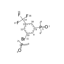 C=P(C)=O.CP(C)(=O)c1cc(Br)cc(C(F)(F)F)c1